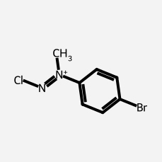 C[N+](=NCl)c1ccc(Br)cc1